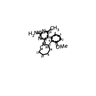 COc1ccccc1[C@H]1CCCCCN1c1cc(C)nc(N)n1